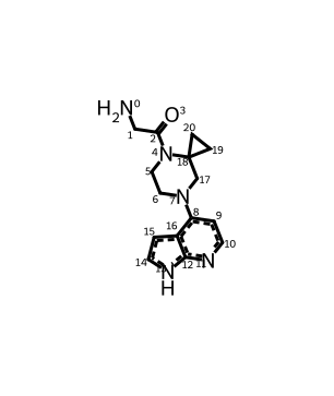 NCC(=O)N1CCN(c2ccnc3[nH]ccc23)CC12CC2